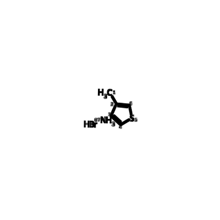 Br.Cc1ccsc1.N